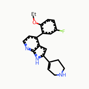 CCOc1ccc(F)cc1-c1ccnc2[nH]c(C3=CCNCC3)cc12